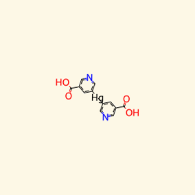 O=C(O)c1cnc[c]([Hg][c]2cncc(C(=O)O)c2)c1